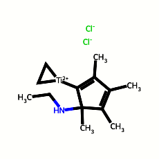 CCNC1(C)C(C)=C(C)C(C)=[C]1[Ti+2]1[CH2][CH2]1.[Cl-].[Cl-]